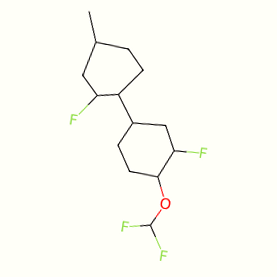 CC1CCC(C2CCC(OC(F)F)C(F)C2)C(F)C1